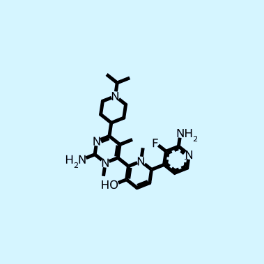 CC1=C(C2=C(O)C=CC(c3ccnc(N)c3F)N2C)N(C)C(N)N=C1C1CCN(C(C)C)CC1